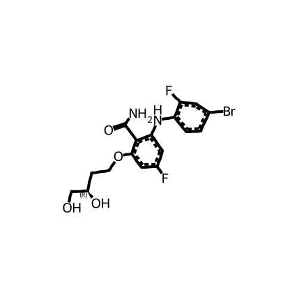 NC(=O)c1c(Nc2ccc(Br)cc2F)cc(F)cc1OCC[C@@H](O)CO